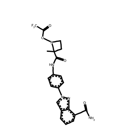 CC1(C(=O)Nc2ccc(-n3cc4cccc(C(N)=O)c4n3)cc2)CCN1OC(=O)C(F)(F)F